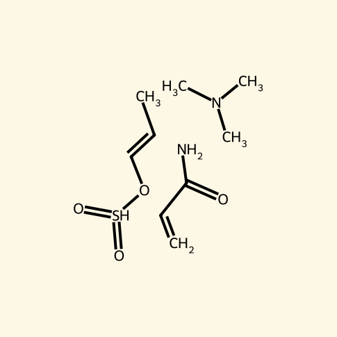 C=CC(N)=O.CC=CO[SH](=O)=O.CN(C)C